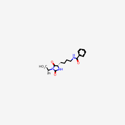 CC(C)[C@H](C(=O)O)N1C(=O)N[C@@H](CCCCNC(=O)c2ccccc2)C1=O